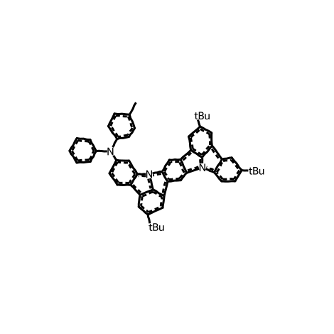 Cc1ccc(N(c2ccccc2)c2ccc3c4cc(C(C)(C)C)cc5c6cc7c(cc6n(c3c2)c45)c2cc(C(C)(C)C)cc3c4cc(C(C)(C)C)ccc4n7c32)cc1